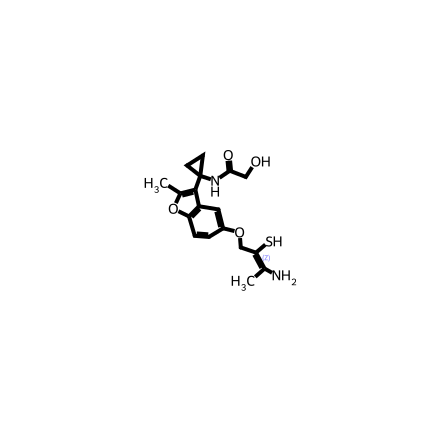 C/C(N)=C(/S)COc1ccc2oc(C)c(C3(NC(=O)CO)CC3)c2c1